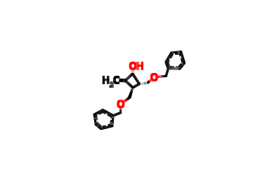 C=C1[C@H](O)[C@H](COCc2ccccc2)[C@H]1COCc1ccccc1